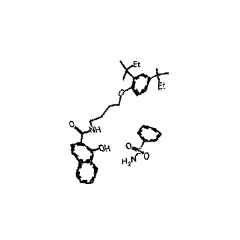 CCC(C)(C)c1ccc(OCCCCNC(=O)c2ccc3ccccc3c2O)c(C(C)(C)CC)c1.NS(=O)(=O)c1ccccc1